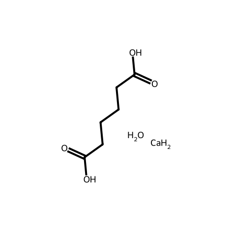 O.O=C(O)CCCCC(=O)O.[CaH2]